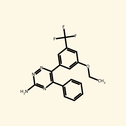 CCOc1cc(-c2nnc(N)nc2-c2ccccc2)cc(C(F)(F)F)c1